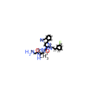 CC(C)(CNC(=O)c1ccc(-c2ccccc2C#N)nc1NCCc1cccc(F)c1)NC(=O)CN